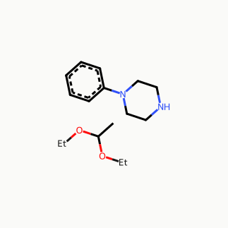 CCOC(C)OCC.c1ccc(N2CCNCC2)cc1